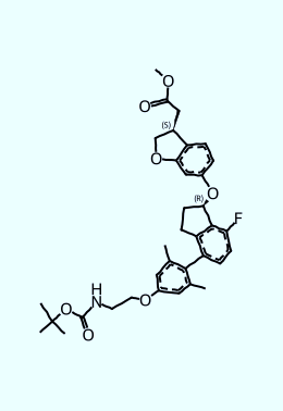 COC(=O)C[C@@H]1COc2cc(O[C@@H]3CCc4c(-c5c(C)cc(OCCNC(=O)OC(C)(C)C)cc5C)ccc(F)c43)ccc21